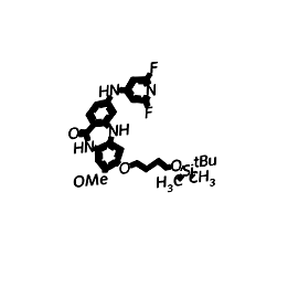 COc1cc2c(cc1OCCCCO[Si](C)(C)C(C)(C)C)Nc1cc(Nc3cc(F)nc(F)c3)ccc1C(=O)N2